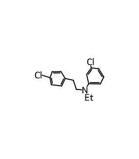 CCN(CCc1ccc(Cl)cc1)c1cccc(Cl)c1